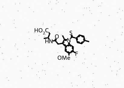 COc1cc2c(CC(=O)NC(C)CC(=O)O)c(C)n(C(=S)c3ccc(C)cc3)c2cc1F